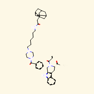 C=CC(=O)N1[C@@H](c2ccc(C(=O)N3CCN(CCCCCCNC(=O)CC45CC6CC(CC(C6)C4)C5)CC3)cc2)c2[nH]c3ccccc3c2C[C@@H]1C(=O)OC